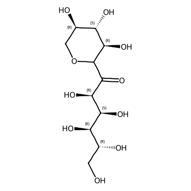 O=C(C1OC[C@@H](O)[C@H](O)[C@H]1O)[C@H](O)[C@@H](O)[C@H](O)[C@H](O)CO